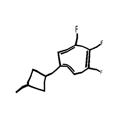 CC1CC(c2cc(F)c(F)c(F)c2)C1